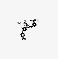 CC(=N)N1CCC(Oc2ccc(N(C/C=C/c3cccc(C(=N)N)c3)S(=O)(=O)CC(=O)O)cc2F)CC1.Cl.Cl